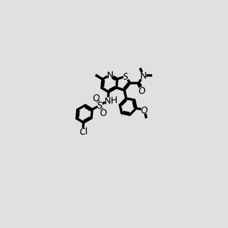 COc1cccc(-c2c(C(=O)N(C)C)sc3nc(C)cc(NS(=O)(=O)c4cccc(Cl)c4)c23)c1